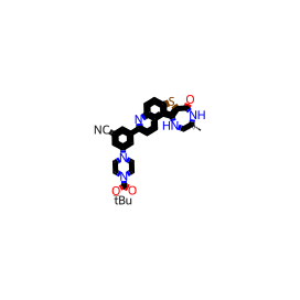 C[C@@H]1CNc2c(sc3ccc4nc(-c5cc(C#N)cc(N6CCN(C(=O)OC(C)(C)C)CC6)c5)ccc4c23)C(=O)N1